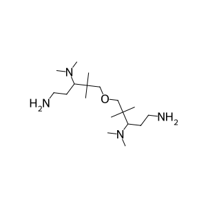 CN(C)C(CCN)C(C)(C)COCC(C)(C)C(CCN)N(C)C